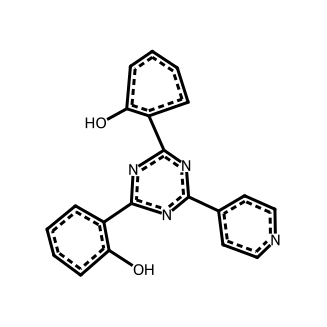 Oc1ccccc1-c1nc(-c2ccncc2)nc(-c2ccccc2O)n1